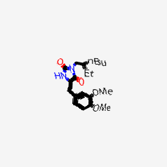 CCCCC(CC)CN1C(=O)NC(=Cc2ccc(OC)c(OC)c2)C1=O